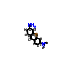 CN(C)c1ccc2c(c1)SC1=CC(N)C=CC1=C2